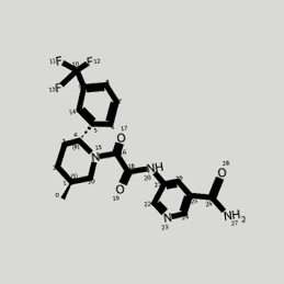 C[C@H]1CC[C@H](c2cccc(C(F)(F)F)c2)N(C(=O)C(=O)Nc2cncc(C(N)=O)c2)C1